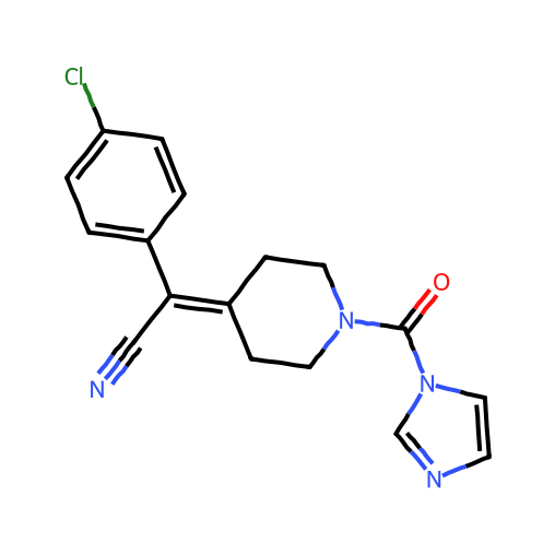 N#CC(=C1CCN(C(=O)n2ccnc2)CC1)c1ccc(Cl)cc1